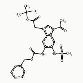 CC(=O)c1cn(CC(=O)OC(C)(C)C)c2cc(NC(=O)OCc3ccccc3)c(NS(C)(=O)=O)cc12